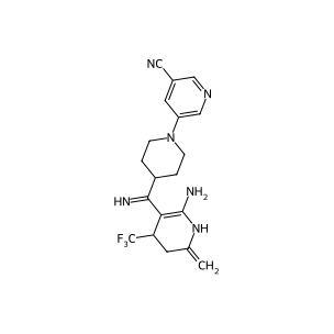 C=C1CC(C(F)(F)F)C(C(=N)C2CCN(c3cncc(C#N)c3)CC2)=C(N)N1